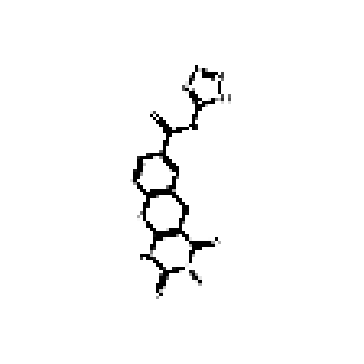 Cn1c(=O)[nH]c2c(c1=O)Cc1cc(C(=O)Nc3nnn[nH]3)ccc1O2